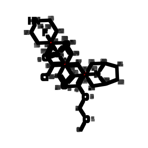 COCOc1ccc(S(=O)(=O)C2CCNCC2)cc1N1C2CCC1CN(C(=O)c1ccc(F)cc1Cl)C2